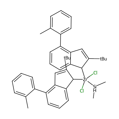 Cc1ccccc1-c1cccc2c1C=C(C(C)(C)C)[CH]2[Zr]([Cl])([Cl])([CH]1C(C(C)(C)C)=Cc2c(-c3ccccc3C)cccc21)[SiH](C)C